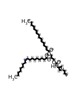 CCCCCCCC/C=C\CCCCCCCC(=O)OC(COC(=O)CCCCCCCCCCCCCCC)COC(=O)NC1CN(CCF)C1